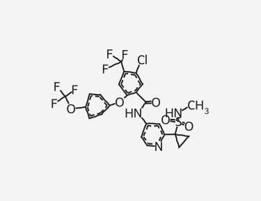 CNS(=O)(=O)C1(c2cc(NC(=O)c3cc(Cl)c(C(F)(F)F)cc3Oc3ccc(OC(F)(F)F)cc3)ccn2)CC1